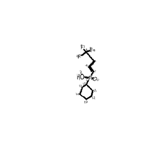 O=P(O)(C=CCC(F)(F)F)C1CCCCC1